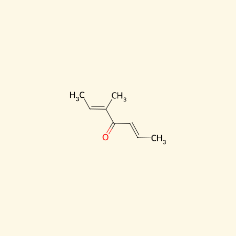 C/C=C/C(=O)/C(C)=C/C